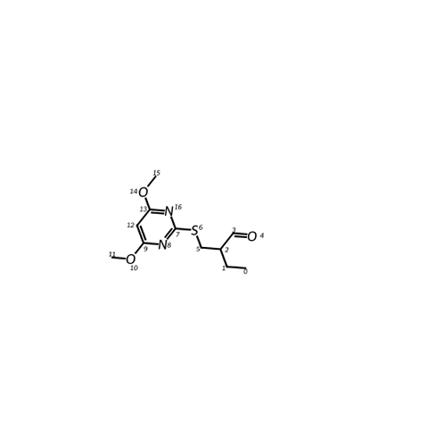 CCC(C=O)CSc1nc(OC)cc(OC)n1